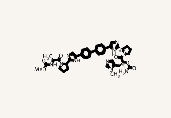 COC(=O)N[C@@H](C)C(=O)N1CCCC1c1ncc(-c2ccc(-c3ccc(-c4cnc([C@@H]5CCCN5C(=O)[C@H](Cc5cncn5C)OC(N)=O)[nH]4)cc3)cc2)[nH]1